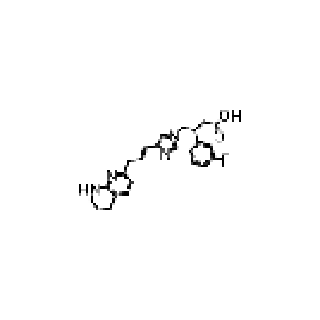 O=C(O)CC(Cn1cnc(C=CCc2ccc3c(n2)NCCC3)c1)c1cccc(F)c1